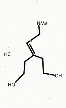 CNCC=C(CCO)CCO.Cl